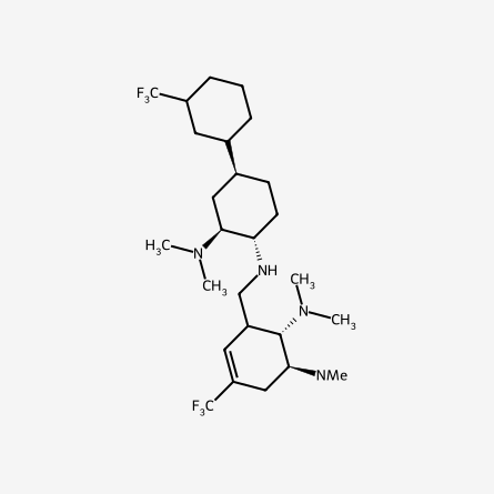 CN[C@H]1CC(C(F)(F)F)=CC(CN[C@H]2CC[C@H](C3CCCC(C(F)(F)F)C3)C[C@@H]2N(C)C)[C@@H]1N(C)C